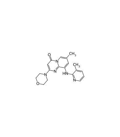 Cc1cc(Nc2ncccc2C)c2nc(N3CCOCC3)cc(=O)n2c1